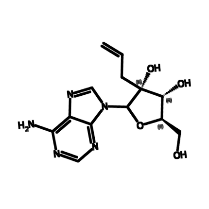 C=CC[C@]1(O)C(n2cnc3c(N)ncnc32)O[C@H](CO)[C@H]1O